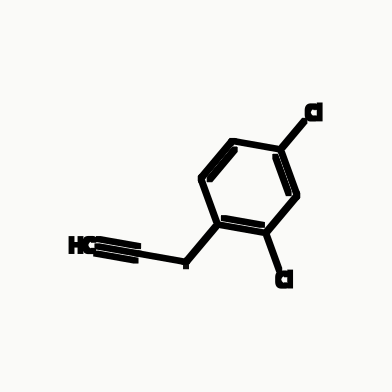 C#C[CH]c1ccc(Cl)cc1Cl